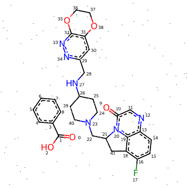 O=C(O)c1ccccc1.O=c1cnc2ccc(F)c3c2n1C(CN1CCC(NCc2cc4c(nn2)OCCO4)CC1)C3